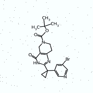 CC(C)(C)OC(=O)N1CCc2nc(C3(c4cncc(Br)c4)CC3)[nH]c(=O)c2C1